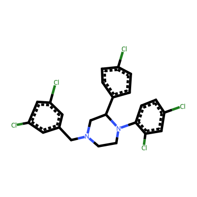 Clc1ccc(C2CN(Cc3cc(Cl)cc(Cl)c3)CCN2c2ccc(Cl)cc2Cl)cc1